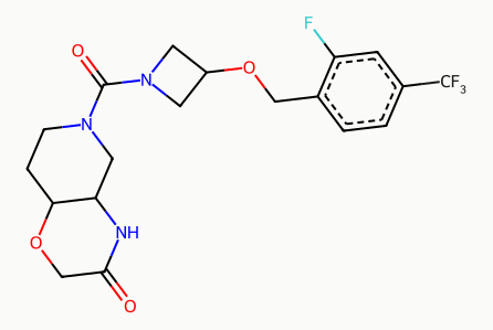 O=C1COC2CCN(C(=O)N3CC(OCc4ccc(C(F)(F)F)cc4F)C3)CC2N1